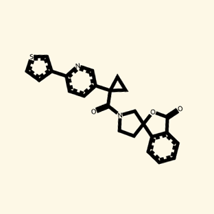 O=C1OC2(CCN(C(=O)C3(c4ccc(-c5ccsc5)nc4)CC3)C2)c2ccccc21